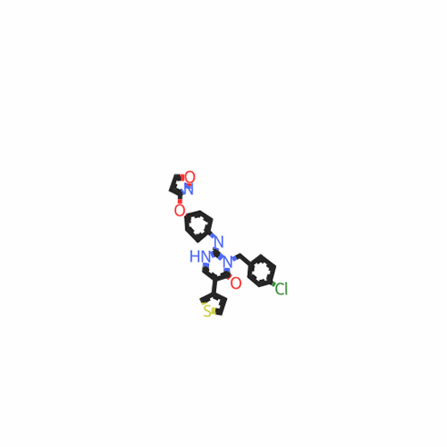 O=c1c(-c2ccsc2)c[nH]/c(=N\c2ccc(Oc3ccon3)cc2)n1Cc1ccc(Cl)cc1